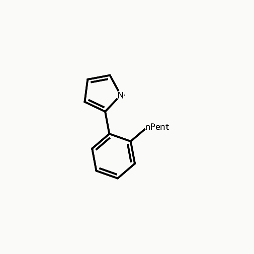 CCCCCc1ccccc1C1=CC=C[N]1